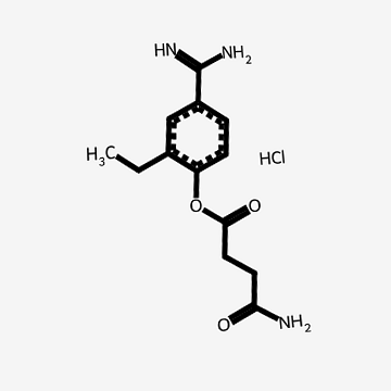 CCc1cc(C(=N)N)ccc1OC(=O)CCC(N)=O.Cl